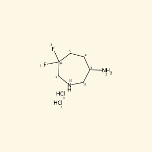 Cl.Cl.NC1CCC(F)(F)CNC1